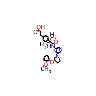 CCOc1ccccc1OC1CCCN(c2cncc(NC(=O)C(C)(C)c3ccc(CCC(=O)O)cc3)n2)C1